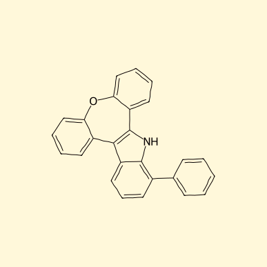 c1ccc(-c2cccc3c4c([nH]c23)-c2ccccc2Oc2ccccc2-4)cc1